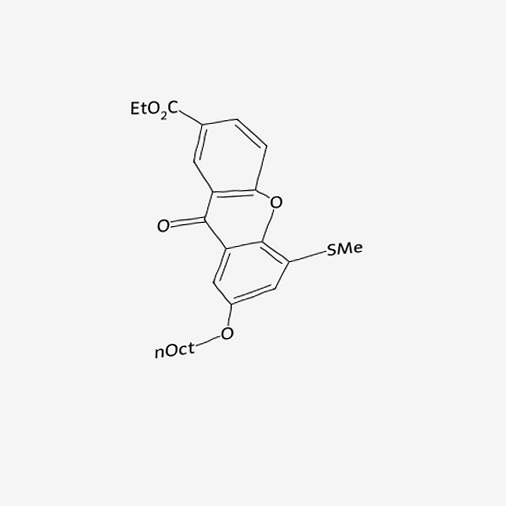 CCCCCCCCOc1cc(SC)c2oc3ccc(C(=O)OCC)cc3c(=O)c2c1